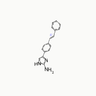 Nc1nc(-c2ccc(/C=C/c3ccccc3)cc2)c[nH]1